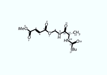 COC(=O)/C=C/C(=O)OCNC(=O)[C@H](C)NC(=O)C(C)(C)C